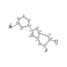 Fc1cc2oc(-c3cccc(Br)c3)cc2cc1Cl